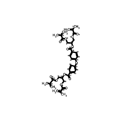 C=C(C)C(=O)OCC(COC(=O)C(=C)C)OC(=O)c1ccc(Oc2ccc(C(=O)OC(COC(=O)C(=C)C)COC(=O)C(=C)C)cc2)cc1